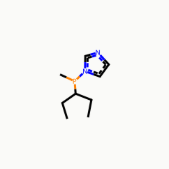 CCC(CC)P(C)n1ccnc1